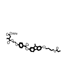 C=CC(=O)OCCCCOc1ccc2c(c1)C(C)c1cc(OC(=O)c3ccc(OCCOC(=O)C(=C)CC(=O)OC)cc3)ccc1-2